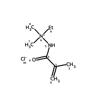 C=C(C)C(=O)N[N+](C)(C)CC.[Cl-]